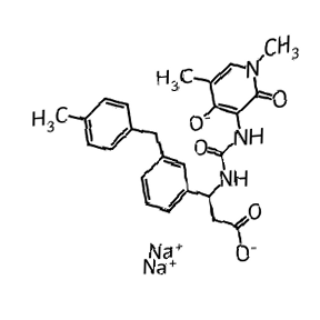 Cc1ccc(Cc2cccc([C@H](CC(=O)[O-])NC(=O)Nc3c([O-])c(C)cn(C)c3=O)c2)cc1.[Na+].[Na+]